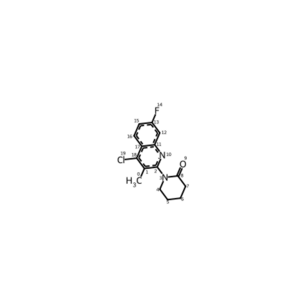 Cc1c(N2CCCCC2=O)nc2cc(F)ccc2c1Cl